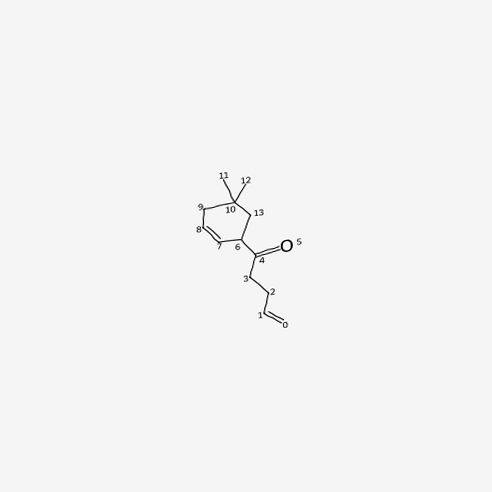 C=CCCC(=O)C1C=CCC(C)(C)C1